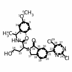 COc1cccc(C(C)NC(=O)C(CCO)N2Cc3ccc(-c4nc(Cl)ncc4Cl)cc3C2=O)c1